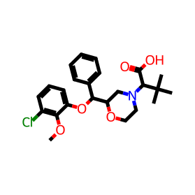 COc1c(Cl)cccc1OC(c1ccccc1)C1CN(C(C(=O)O)C(C)(C)C)CCO1